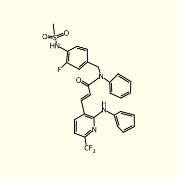 CS(=O)(=O)Nc1ccc(CN(C(=O)/C=C/c2ccc(C(F)(F)F)nc2Nc2ccccc2)c2ccccc2)cc1F